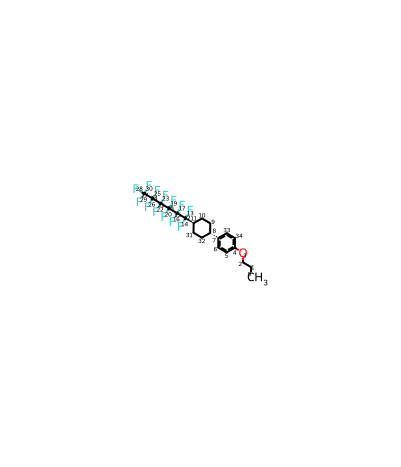 CCCOc1ccc([C@H]2CC[C@H](C(F)(F)C(F)(F)C(F)(F)C(F)(F)C(F)(F)C(F)(F)F)CC2)cc1